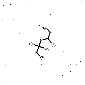 CCC(C)OC(C)(C)CC